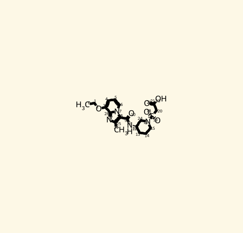 CCOc1cccn2c(C(=O)N[C@H]3CCCN(S(=O)(=O)CC(=O)O)C3)c(C)nc12